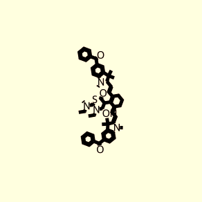 CCN(C)C(=S)N(CC)C(O)C(C=O)C1=C(/C=C/C2=[N+](C)c3ccc(C(=O)c4ccccc4)cc3C2(C)C)CCC/C1=C\C=C1\N(C)c2ccc(C(=O)c3ccccc3)cc2C1(C)C